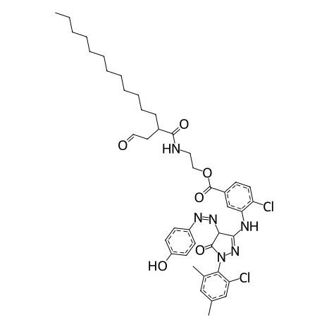 CCCCCCCCCCCCC(CC=O)C(=O)NCCOC(=O)c1ccc(Cl)c(NC2=NN(c3c(C)cc(C)cc3Cl)C(=O)C2N=Nc2ccc(O)cc2)c1